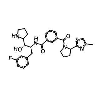 Cc1csc(C2CCCN2C(=O)c2cccc(C(=O)N[C@@H](Cc3cccc(F)c3)[C@H](O)C3CCCN3)c2)n1